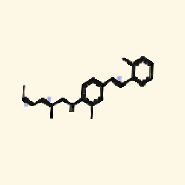 C/C=C\C=C(/C)CNc1ccc(/C=C/c2ccccc2C)cc1C